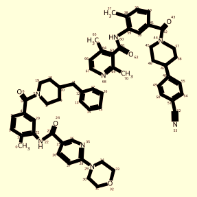 Cc1ccc(C(=O)N2CCC(Cc3ccccc3)CC2)cc1NC(=O)c1ccc(N2CCOCC2)nc1.Cc1ccc(C(=O)N2CCC(c3ccc(C#N)cc3)CC2)cc1NC(=O)c1c(C)ccnc1C